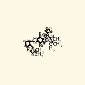 CC(C)(C)OC(=O)N(c1cscn1)S(=O)(=O)c1c(F)cc(NCc2cccc(F)c2CN2CCC2(C)C)c(Br)c1F